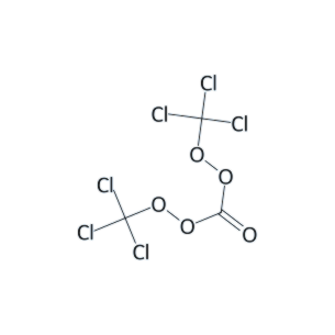 O=C(OOC(Cl)(Cl)Cl)OOC(Cl)(Cl)Cl